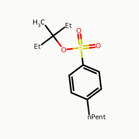 CCCCCc1ccc(S(=O)(=O)OC(C)(CC)CC)cc1